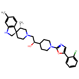 Cc1ccc2c(c1)NC[C@@]21CCN(C[C@H](O)C2CCN(c3ncc(-c4ccccc4Cl)o3)CC2)C[C@H]1C